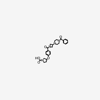 O=C(O)N1CC[C@H](Oc2ccc(C(=O)N3CC(N4CCN(C(=O)c5ccccc5)CC4)C3)cc2)C1